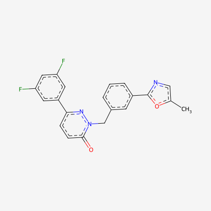 Cc1cnc(-c2cccc(Cn3nc(-c4cc(F)cc(F)c4)ccc3=O)c2)o1